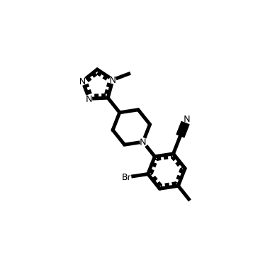 Cc1cc(Br)c(N2CCC(c3nncn3C)CC2)c(C#N)c1